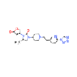 CC1CN(C2CCN(CCc3ccc(-n4cnnn4)nc3)CC2)C(=O)N1C1=CC(=O)OC1